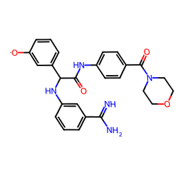 N=C(N)c1cccc(NC(C(=O)Nc2ccc(C(=O)N3CCOCC3)cc2)c2cccc([O])c2)c1